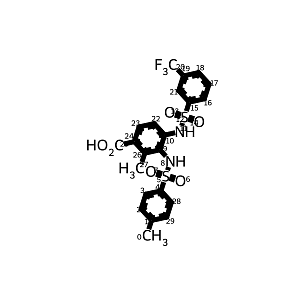 Cc1ccc(S(=O)(=O)Nc2c(NS(=O)(=O)c3cccc(C(F)(F)F)c3)ccc(C(=O)O)c2C)cc1